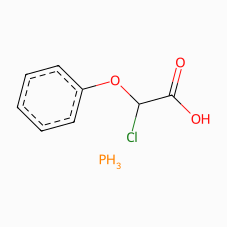 O=C(O)C(Cl)Oc1ccccc1.P